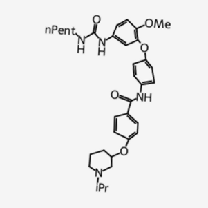 CCCCCNC(=O)Nc1ccc(OC)c(Oc2ccc(NC(=O)c3ccc(OC4CCCN(C(C)C)C4)cc3)cc2)c1